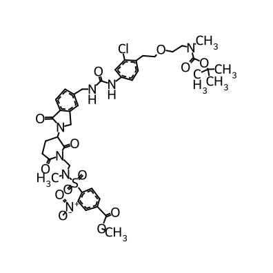 COC(=O)c1ccc(S(=O)(=O)N(C)CN2C(=O)CCC(N3Cc4cc(CNC(=O)Nc5ccc(CCOCCN(C)C(=O)OC(C)(C)C)c(Cl)c5)ccc4C3=O)C2=O)c([N+](=O)[O-])c1